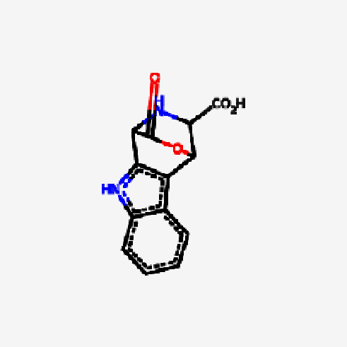 O=C1OC2c3c([nH]c4ccccc34)C1NC2C(=O)O